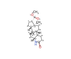 COC(=O)[C@H]1CC[C@H]2C3=CC[C@H]4NC(=O)CC[C@]4(C)[C@H]3CC[C@]12C